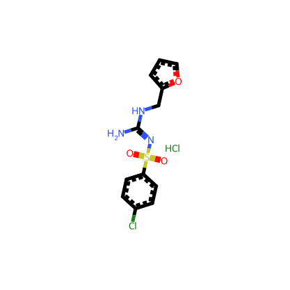 Cl.N/C(=N\S(=O)(=O)c1ccc(Cl)cc1)NCc1ccco1